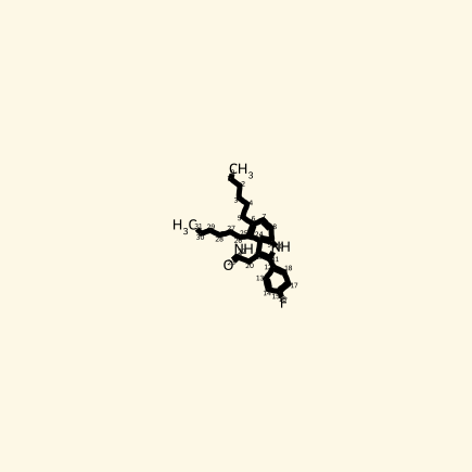 CCCCCCc1ccc2[nH]c(-c3ccc(F)cc3)c(CC(N)=O)c2c1CCCCCC